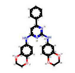 c1ccc(-c2cc(Nc3ccc4c(c3)OCCO4)nc(Nc3ccc4c(c3)OCCO4)n2)cc1